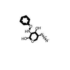 [N-]=[N+]=N[C@H]1CO[C@@H](O)[C@H](NOc2ccccc2)[C@H]1O